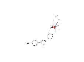 Cn1nc(-c2ccc3c(c2)C[C@H]2CC[C@@H](C3)[C@]23CN(CC(F)(F)F)S(=O)(=O)N3)cc1-c1ccc(C#N)cc1